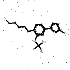 CCCCCCc1ccc(-c2ccc(C)s2)cc1OC(F)(F)F